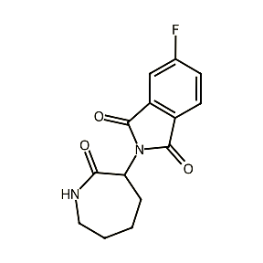 O=C1NCCCCC1N1C(=O)c2ccc(F)cc2C1=O